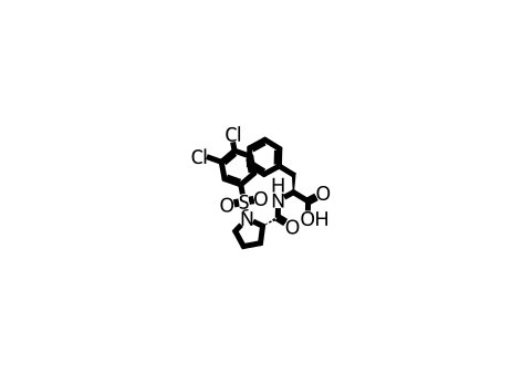 O=C(O)[C@H](Cc1ccccc1)NC(=O)[C@@H]1CCCN1S(=O)(=O)c1ccc(Cl)c(Cl)c1